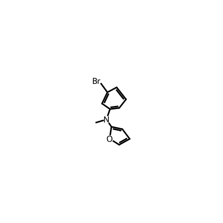 CN(c1cccc(Br)c1)c1ccco1